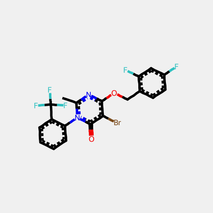 Cc1nc(OCc2ccc(F)cc2F)c(Br)c(=O)n1-c1ccccc1C(F)(F)F